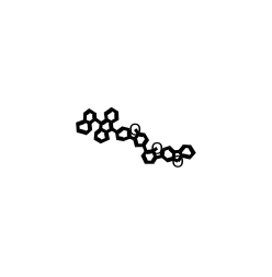 c1ccc2c(-c3c4ccccc4c(-c4ccc5c(c4)oc4ccc(-c6cccc7c6oc6cc8c(cc67)oc6ccccc68)cc45)c4ccccc34)cccc2c1